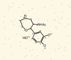 CC(=O)NC1CNCCOC1c1ccc(Cl)c(Cl)c1.Cl